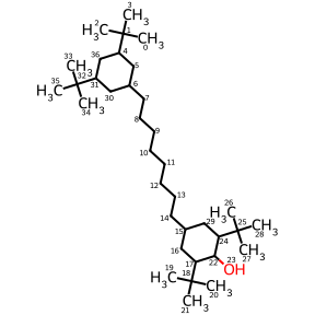 CC(C)(C)C1CC(CCCCCCCCC2CC(C(C)(C)C)C(O)C(C(C)(C)C)C2)CC(C(C)(C)C)C1